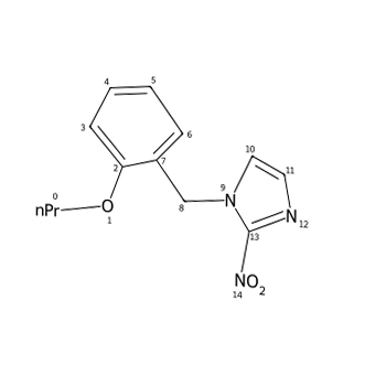 CCCOc1ccccc1Cn1ccnc1[N+](=O)[O-]